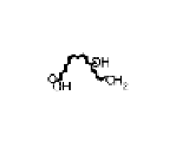 C=C/C=C\C=C\C(O)C/C=C\C/C=C\CCCCCC(=O)O